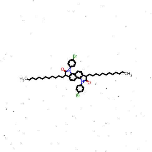 CCCCCCCCCCCCC1C(=O)N(c2ccc(Br)cc2)c2c1ccc1c3c(ccc21)C(CCCCCCCCCCCC)C(=O)N3c1ccc(Br)cc1